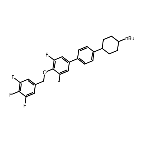 CCCCC1CCC(c2ccc(-c3cc(F)c(OCc4cc(F)c(F)c(F)c4)c(F)c3)cc2)CC1